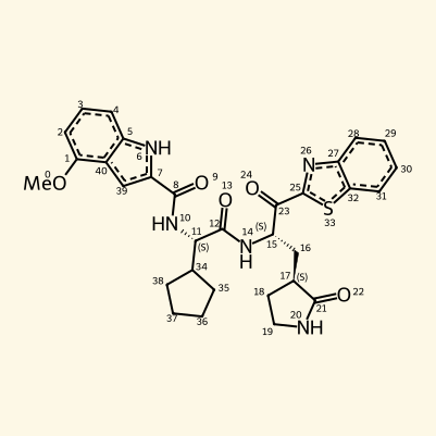 COc1cccc2[nH]c(C(=O)N[C@H](C(=O)N[C@@H](C[C@@H]3CCNC3=O)C(=O)c3nc4ccccc4s3)C3CCCC3)cc12